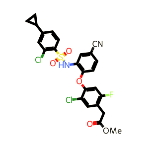 COC(=O)Cc1cc(Cl)c(Oc2ccc(C#N)cc2NS(=O)(=O)c2ccc(C3CC3)cc2Cl)cc1F